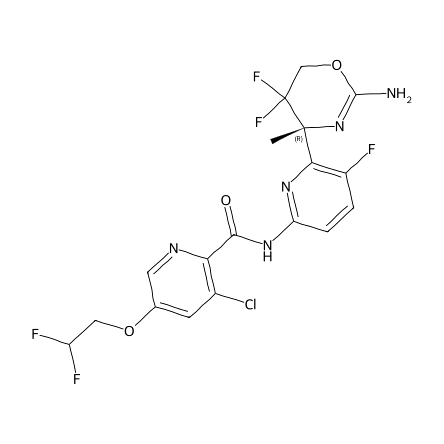 C[C@]1(c2nc(NC(=O)c3ncc(OCC(F)F)cc3Cl)ccc2F)N=C(N)OCC1(F)F